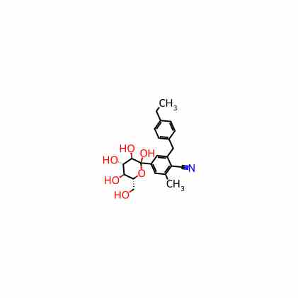 CCc1ccc(Cc2cc([C@]3(O)O[C@H](CO)[C@@H](O)[C@H](O)[C@H]3O)cc(C)c2C#N)cc1